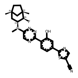 CN(c1cnc(-c2ccc(-c3ncc(C#N)s3)cc2O)nn1)[C@H]1C[C@]2(C)CC[C@@](C)(C2)[C@H]1F